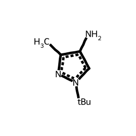 Cc1nn(C(C)(C)C)cc1N